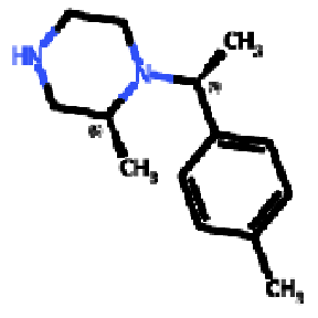 Cc1ccc([C@H](C)N2CCNC[C@@H]2C)cc1